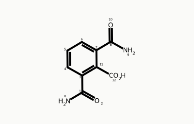 NC(=O)c1cccc(C(N)=O)c1C(=O)O